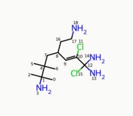 CC(C)(N)C(C)(C)CC(C=C(Cl)C(N)(N)Cl)CCN